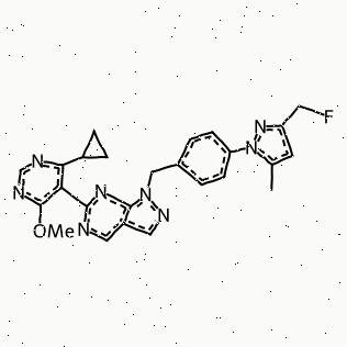 COc1ncnc(C2CC2)c1-c1ncc2cnn(Cc3ccc(-n4nc(CF)cc4C)cc3)c2n1